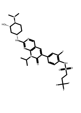 CC(C)n1c(=O)c(-c2ccc(NS(=O)(=O)CCC(F)(F)F)c(F)c2)cc2cnc(N[C@H]3CC[C@H](N(C)C)[C@@H](O)C3)nc21